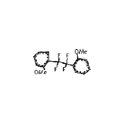 COc1ccccc1C(F)(F)C(F)(F)c1ccccc1OC